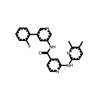 Cc1ccc(Nc2cc(C(=O)Nc3cncc(-c4ccccc4F)c3)ccn2)nc1C